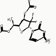 CCC(=O)O[C@@H](C)[C@H]1O[C@@H](n2ccc(N)nc2=O)C(F)(F)[C@@H]1OC(=O)CC